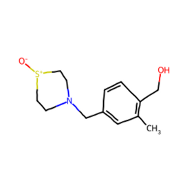 Cc1cc(CN2CC[S+]([O-])CC2)ccc1CO